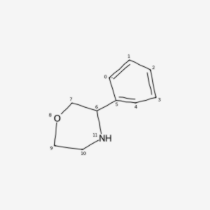 [c]1ccccc1C1COCCN1